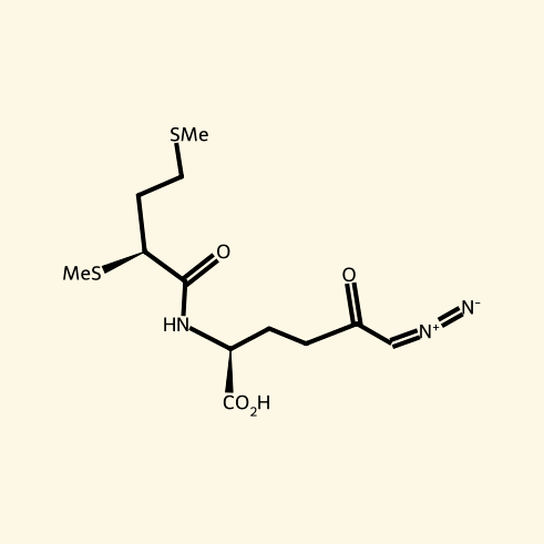 CSCC[C@H](SC)C(=O)N[C@@H](CCC(=O)C=[N+]=[N-])C(=O)O